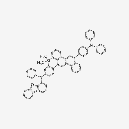 C[Si]1(C)c2cc(N(c3ccccc3)c3cccc4c3oc3ccccc34)ccc2-c2cc3c4ccccc4c(-c4ccc(N(c5ccccc5)c5ccccc5)cc4)cc3c3cccc1c23